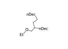 [CH2]COCC(CCCCCCCCCC)CCCCCCCCCCCC